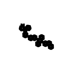 C1=Nc2c(n(-c3cccc(-c4ccc5cc(-c6c7ccccc7c(-c7ccc8c(ccc9ccccc98)c7)c7ccccc67)ccc5c4)c3)c3ccccc23)CC1